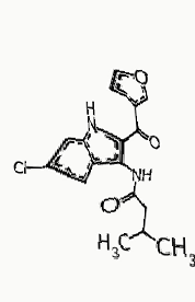 CC(C)CC(=O)Nc1c(C(=O)c2ccoc2)[nH]c2cc(Cl)ccc12